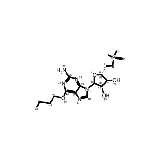 C=P(C)(C)CC[C@H]1OC(n2cnc3c(OCCCC)nc(N)nc32)[C@H](O)[C@@H]1O